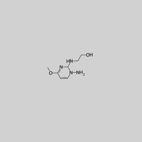 COC1=NC(NCCO)N(N)C=C1